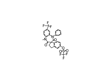 CN1C(=O)C2(CCc3cc(OS(=O)(=O)C(F)(F)F)ccc32)C(=O)N(c2ccccc2)c2cc(C(F)(F)F)ccc21